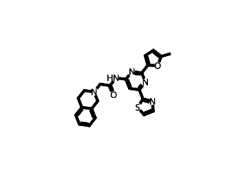 Cc1ccc(-c2nc(NC(=O)CN3CCc4ccccc4C3)cc(-c3nccs3)n2)o1